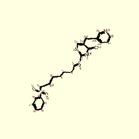 O=c1[nH]c(SCCCCCCCS(=O)(=O)c2ccccc2)ncc1Cc1cccnc1